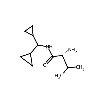 CC(C)[C@@H](N)C(=O)NC(C1CC1)C1CC1